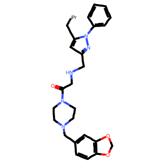 CC(C)Cc1cc(CNCC(=O)N2CCN(Cc3ccc4c(c3)OCO4)CC2)nn1-c1ccccc1